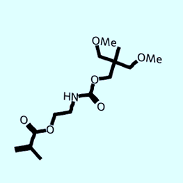 C=C(C)C(=O)OCCNC(=O)OCC(C)(COC)COC